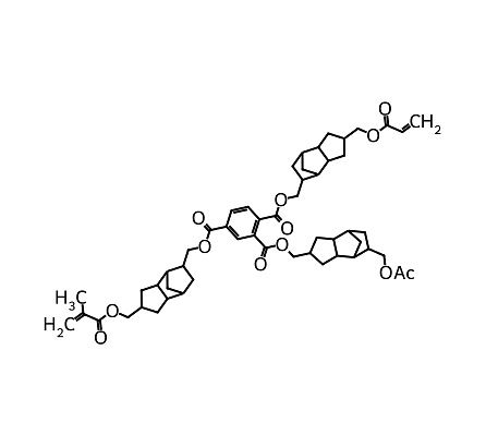 C=CC(=O)OCC1CC2C3CC(COC(=O)c4ccc(C(=O)OCC5CC6CC5C5CC(COC(=O)C(=C)C)CC65)cc4C(=O)OCC4CC5C6CC(COC(C)=O)C(C6)C5C4)C(C3)C2C1